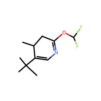 CC1CC(OC(F)F)=NC=C1C(C)(C)C